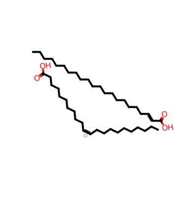 CCCCCCCCCC/C=C\CCCCCCCCCC(=O)O.CCCCCCCCCCCCCCCCCCCC=CC(=O)O